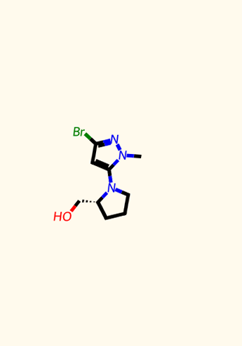 Cn1nc(Br)cc1N1CCC[C@@H]1CO